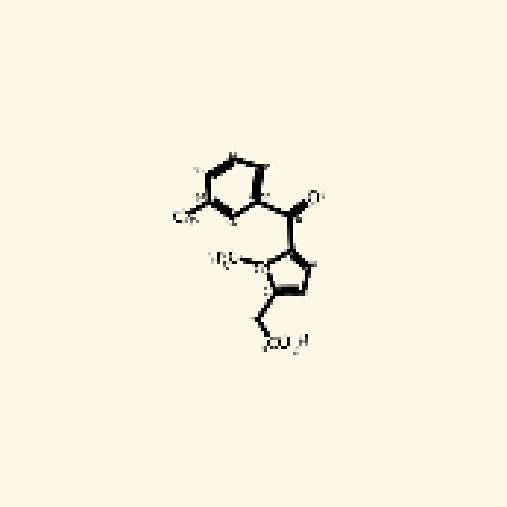 Cn1c(CC(=O)O)ccc1C(=O)c1cccc(Cl)c1